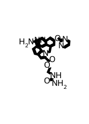 N=C(N)c1ccc2cc(C(=O)OCCNC(N)=O)n(Cc3cc(Oc4ncccn4)cc4ccccc34)c2c1